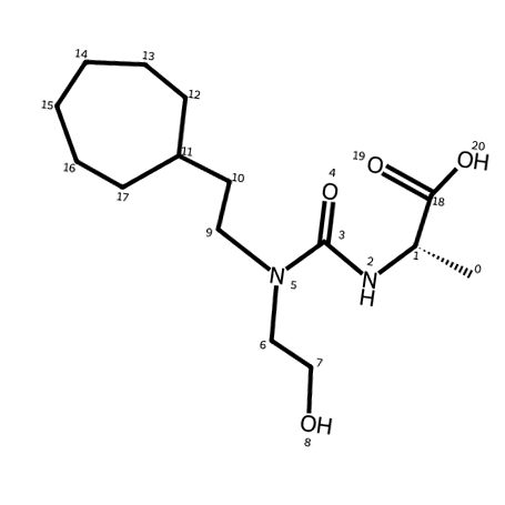 C[C@H](NC(=O)N(CCO)CCC1CCCCCC1)C(=O)O